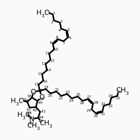 CCCCC/C=C\C/C=C\CCCCCCCCC1(CCCCCCCC/C=C\C/C=C\CCCCC)OC2C(C)CC(CC(C)N(C)C)C2O1